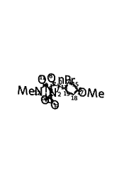 CCCC(CN=S(=O)=O)(C(=O)NC(=O)NC)c1ccc(OC)cc1